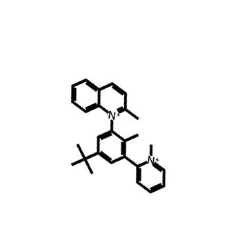 Cc1c(-c2cccc[n+]2C)cc(C(C)(C)C)cc1-[n+]1c(C)ccc2ccccc21